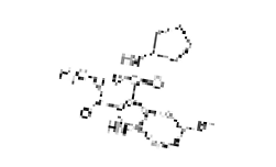 COC(=O)c1[nH]c2ccc(Br)cc2c1S(=O)(=O)NC1CCCC1